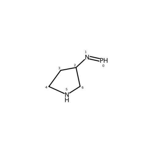 P=NC1CCNC1